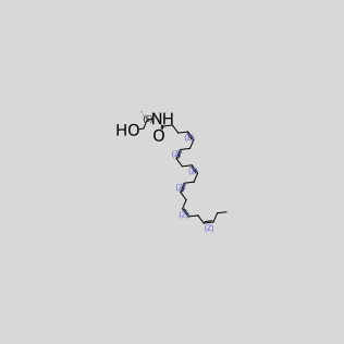 CC/C=C\C/C=C\C/C=C\C/C=C\C/C=C\C/C=C\CCC(=O)N[C@@H](C)CO